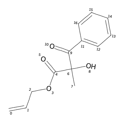 C=CCOC(=O)C(C)(O)C(=O)c1ccccc1